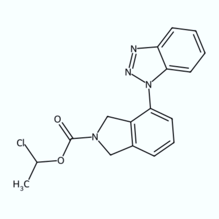 CC(Cl)OC(=O)N1Cc2cccc(-n3nnc4ccccc43)c2C1